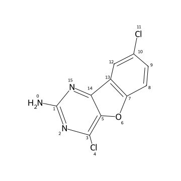 Nc1nc(Cl)c2oc3ccc(Cl)cc3c2n1